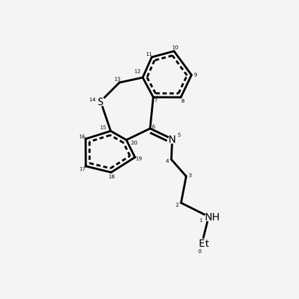 CCNCCC/N=C1/c2ccccc2CSc2ccccc21